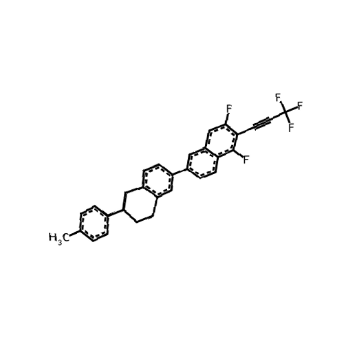 Cc1ccc(C2CCc3cc(-c4ccc5c(F)c(C#CC(F)(F)F)c(F)cc5c4)ccc3C2)cc1